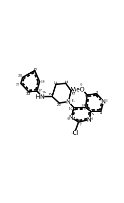 COc1cncc2nc(Cl)nc(N3CCCC(Nc4ccccc4)C3)c12